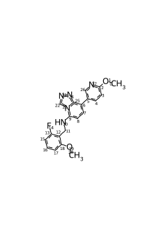 COc1ccc(-c2ccc(NCc3c(F)cccc3OC)n3cnnc23)cn1